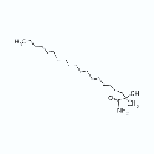 CCCCCCCCCCCCCCCCCCC(C)(O)C(N)=O